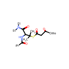 CCN(CC)C(=O)C(NC(=O)C(C)C)C(C)(C)SC(=O)CC(=O)OC